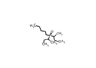 CCCCCP(=O)(C(C)CC)C(C)CC